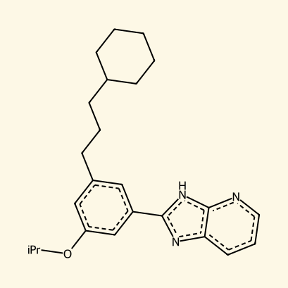 CC(C)Oc1cc(CCCC2CCCCC2)cc(-c2nc3cccnc3[nH]2)c1